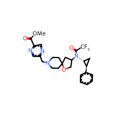 COC(=O)c1cnc(CN2CCC3(CC2)CC(N(C(=O)C(F)(F)F)[C@@H]2C[C@H]2c2ccccc2)CO3)cn1